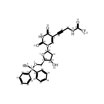 CC(C)(C)[Si](OC[C@H]1O[C@@H](n2cc(C#CCNC(=O)C(F)(F)F)c(=O)[nH]c2=O)C[C@H]1O)(c1ccccc1)c1ccccc1